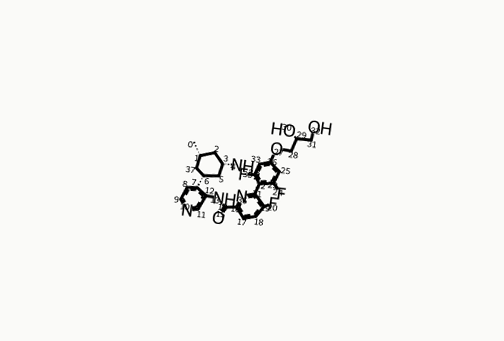 C[C@@H]1C[C@H](N)C[C@H](c2ccncc2NC(=O)c2ccc(F)c(-c3c(F)cc(OC[C@H](O)CO)cc3F)n2)C1